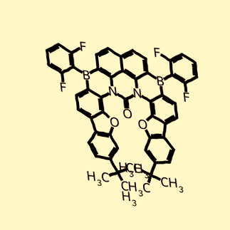 CC(C)(C)c1ccc2c(c1)oc1c3c(ccc12)B(c1c(F)cccc1F)c1ccc2ccc4c5c2c1N3C(=O)N5c1c(ccc2c1oc1cc(C(C)(C)C)ccc12)B4c1c(F)cccc1F